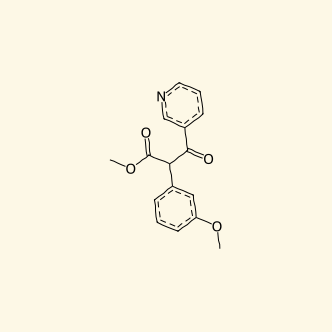 COC(=O)C(C(=O)c1cccnc1)c1cccc(OC)c1